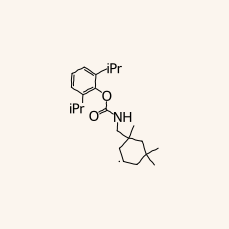 CC(C)c1cccc(C(C)C)c1OC(=O)NCC1(C)C[CH]CC(C)(C)C1